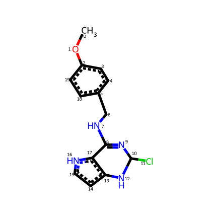 COc1ccc(CNC2=NC(Cl)Nc3cc[nH]c32)cc1